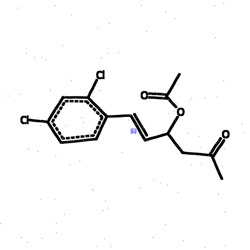 CC(=O)CC(/C=C/c1ccc(Cl)cc1Cl)OC(C)=O